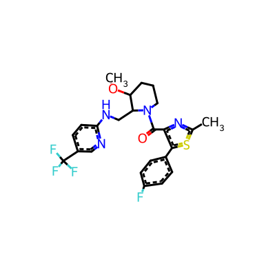 COC1CCCN(C(=O)c2nc(C)sc2-c2ccc(F)cc2)C1CNc1ccc(C(F)(F)F)cn1